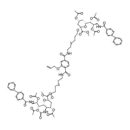 C=CCOc1cc(C(=O)NCCSCCCO[C@]2(C(=O)OC)C[C@H](OC(C)=O)C[C@H]([C@H](OC(C)=O)[C@@H](CNC(=O)c3ccc(-c4ccccc4)cc3)OC(C)=O)O2)ccc1C(=O)NCCSCCCO[C@]1(C(=O)OC)C[C@H](OC(C)=O)[C@@H](NC(C)=O)[C@H]([C@H](OC(C)=O)[C@@H](CNC(=O)c2ccc(-c3ccccc3)cc2)OC(C)=O)O1